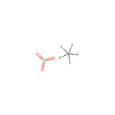 O=S(=O)=O.[F][Sb]([F])([F])([F])[F]